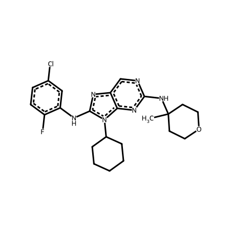 CC1(Nc2ncc3nc(Nc4cc(Cl)ccc4F)n(C4CCCCC4)c3n2)CCOCC1